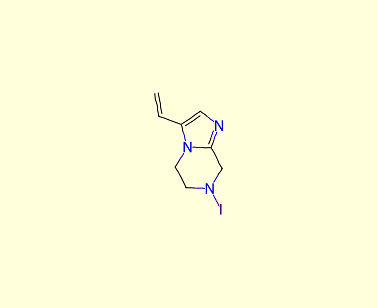 C=Cc1cnc2n1CCN(I)C2